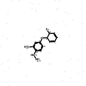 Cc1cc(OC2C=CC=CC2F)ccc1NN